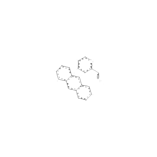 C=Cc1ccccn1.c1ccc2cc3ccccc3cc2c1